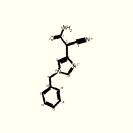 N#CC(C(N)=O)c1cn(Cc2ccccc2)cn1